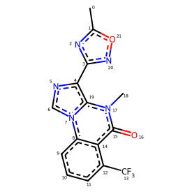 Cc1nc(-c2ncn3c4cccc(C(F)(F)F)c4c(=O)n(C)c23)no1